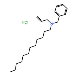 C=CCN(CCCCCCCCCCCC)Cc1ccccc1.Cl